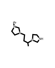 CC(C)N1CCN(CCC(C)N2CCNC2)C1